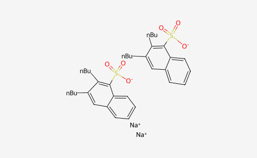 CCCCc1cc2ccccc2c(S(=O)(=O)[O-])c1CCCC.CCCCc1cc2ccccc2c(S(=O)(=O)[O-])c1CCCC.[Na+].[Na+]